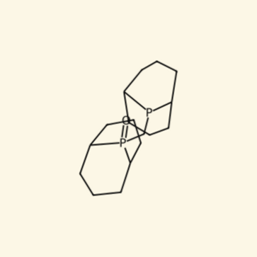 O=P1(CP2C3CCCC2CCC3)C2CCCC1CCC2